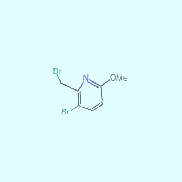 COc1ccc(Br)c(CBr)n1